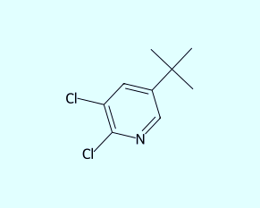 CC(C)(C)c1cnc(Cl)c(Cl)c1